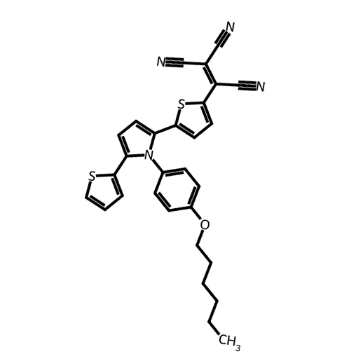 CCCCCCOc1ccc(-n2c(-c3cccs3)ccc2-c2ccc(C(C#N)=C(C#N)C#N)s2)cc1